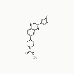 Cn1cc(-c2cnc3ccc(C4CCN(C(=O)OC(C)(C)C)CC4)cc3n2)cn1